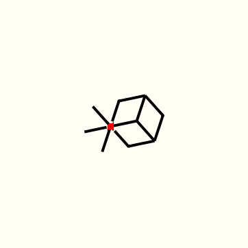 CC(C)C1C2CC1CN(C)C2